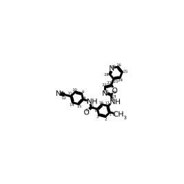 Cc1ccc(C(=O)Nc2ccc(C#N)cc2)cc1Nc1ncc(-c2cccnc2)o1